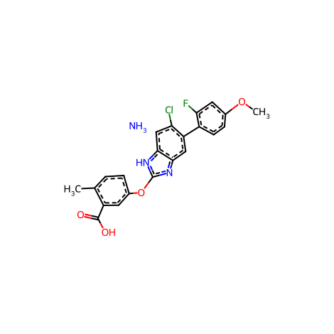 COc1ccc(-c2cc3nc(Oc4ccc(C)c(C(=O)O)c4)[nH]c3cc2Cl)c(F)c1.N